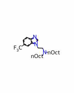 CCCCCCCCN(CCCCCCCC)CCn1cnc2ccc(C(F)(F)F)cc21